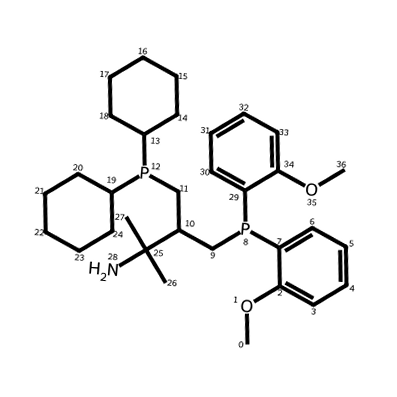 COc1ccccc1P(CC(CP(C1CCCCC1)C1CCCCC1)C(C)(C)N)c1ccccc1OC